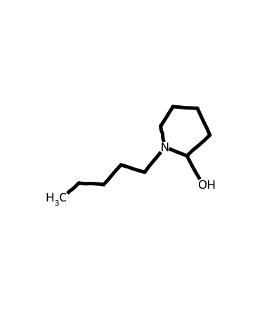 CCCCCN1CCCCC1O